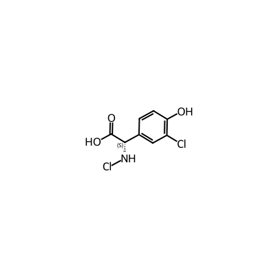 O=C(O)[C@@H](NCl)c1ccc(O)c(Cl)c1